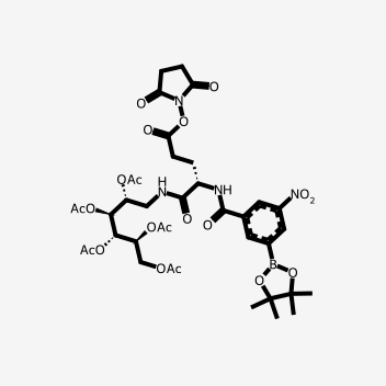 CC(=O)OC[C@H](OC(C)=O)[C@H](OC(C)=O)[C@@H](OC(C)=O)[C@@H](CNC(=O)[C@H](CCC(=O)ON1C(=O)CCC1=O)NC(=O)c1cc(B2OC(C)(C)C(C)(C)O2)cc([N+](=O)[O-])c1)OC(C)=O